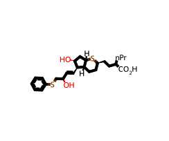 CCCC(CC[C@H]1CC[C@@H]2[C@@H](C=C[C@@H](O)CSc3ccccc3)[C@H](O)C[C@@H]2S1)C(=O)O